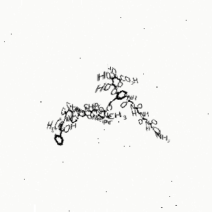 CC[C@H](C)[C@@H]([C@@H](CC(=O)N1CCC[C@H]1[C@H](OC)[C@@H](C)C(=O)N[C@H](C)[C@@H](O)c1ccccc1)OC)N(C)C(=O)[C@@H](NC(=O)[C@H](C(C)C)N(C)C(=O)OCc1cc(NC(=O)CNC(=O)CNC(=O)CNC(=O)CON)ccc1O[C@@H]1OC(C(=O)O)[C@@H](O)[C@H](O)C1O)C(C)C